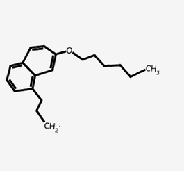 [CH2]CCc1cccc2ccc(OCCCCCC)cc12